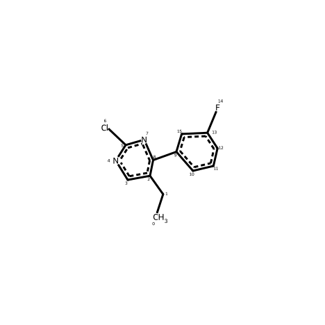 CCc1cnc(Cl)nc1-c1cccc(F)c1